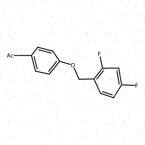 CC(=O)c1ccc(OCc2ccc(F)cc2F)cc1